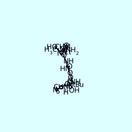 CCn1c(-c2nonc2N)nc2c(C#CC(C)(C)O)ncc(OCCCNCCCC(=O)NCCOCCOCC(=O)N[C@H](C(=O)N3C[C@H](O)C[C@H]3C(=O)NCc3ccc(-c4scnc4C)cc3)C(C)(C)C)c21